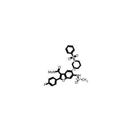 CNC(=O)c1c(-c2ccc(F)cc2)oc2cc(N[S@+](C)[O-])c([C@H]3CCCN(S(=O)(=O)c4ccccc4)C3)cc12